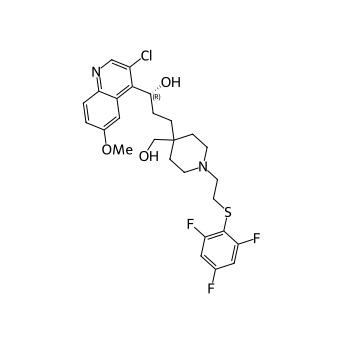 COc1ccc2ncc(Cl)c([C@H](O)CCC3(CO)CCN(CCSc4c(F)cc(F)cc4F)CC3)c2c1